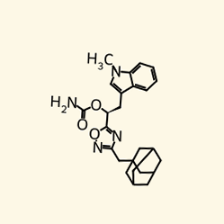 Cn1cc(C[C@H](OC(N)=O)c2nc(CC34CC5CC(CC(C5)C3)C4)no2)c2ccccc21